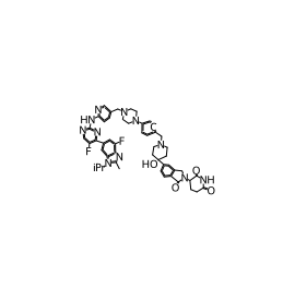 Cc1nc2c(F)cc(-c3nc(Nc4ccc(CN5CCN(c6ccc(CN7CCC(O)(c8ccc9c(c8)CN(C8CCC(=O)NC8=O)C9=O)CC7)cc6)CC5)cn4)ncc3F)cc2n1C(C)C